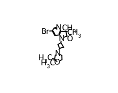 CC1(C)CN(C2CC(N3C(=O)C(C)(C)c4ncc(Br)cc43)C2)CCO1